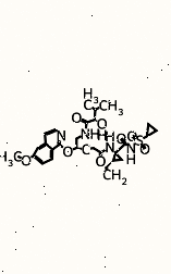 C=C[C@@H]1C[C@]1(NC(=O)CC[C@H](CNC(=O)[C@@H](O)C(C)C)Oc1nccc2cc(OC)ccc12)C(=O)NS(=O)(=O)C1CC1